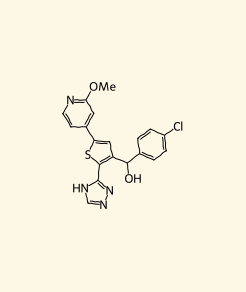 COc1cc(-c2cc(C(O)c3ccc(Cl)cc3)c(-c3nnc[nH]3)s2)ccn1